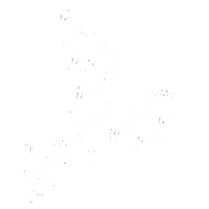 COc1cc(Nc2cc(-c3ccc4cc(C#N)cnn34)ncc2C(=O)NCC(F)C(C)(C)O)ncn1